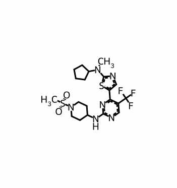 CN(c1ncc(-c2nc(NC3CCN(S(C)(=O)=O)CC3)ncc2C(F)(F)F)s1)C1CCCC1